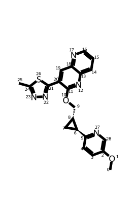 COc1ccc([C@H]2C[C@@H]2COc2nc3cccnc3cc2-c2nnc(C)s2)nc1